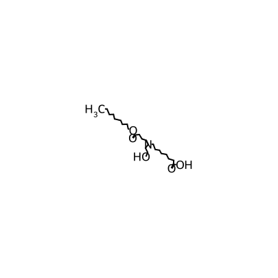 CCCCCCCCCOC(=O)CCCN(CCO)CCCCCCCC(=O)O